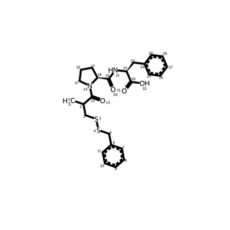 CC(CSSCc1ccccc1)C(=O)N1CCC[C@H]1C(=O)N[C@@H](Cc1ccccc1)C(=O)O